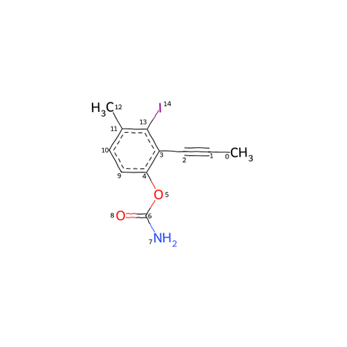 CC#Cc1c(OC(N)=O)ccc(C)c1I